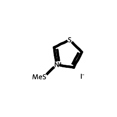 CS[n+]1ccsc1.[I-]